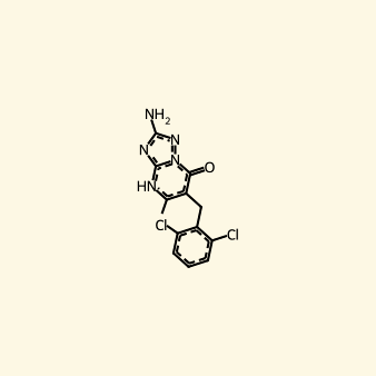 Cc1[nH]c2nc(N)nn2c(=O)c1Cc1c(Cl)cccc1Cl